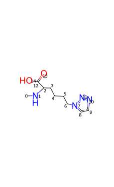 CNC(CCCCn1ccnn1)C(=O)O